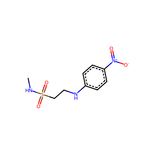 CNS(=O)(=O)CCNc1ccc([N+](=O)[O-])cc1